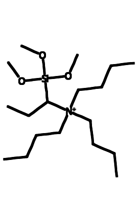 CCCC[N+](CCCC)(CCCC)C(CC)[Si](OC)(OC)OC